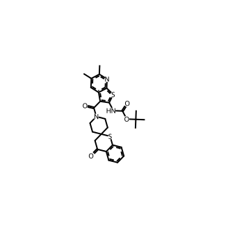 Cc1cc2c(C(=O)N3CCC4(CC3)CC(=O)c3ccccc3S4)c(NC(=O)OC(C)(C)C)sc2nc1C